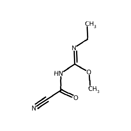 CCN=C(NC(=O)C#N)OC